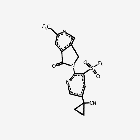 CCS(=O)(=O)c1cc(C2(C#N)CC2)cnc1N1Cc2cnc(C(F)(F)F)cc2C1=O